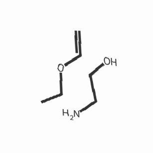 C=COCC.NCCO